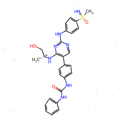 C[C@H](CO)Nc1nc(Nc2ccc(S(C)(=N)=O)cc2)ncc1-c1ccc(NC(=O)Nc2ccccc2)cc1